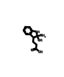 NC1(O)Nc2ccccc2C1CCC(=O)O